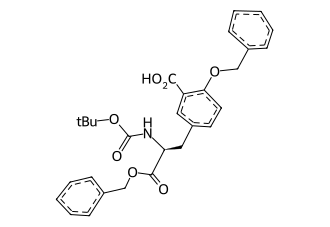 CC(C)(C)OC(=O)N[C@@H](Cc1ccc(OCc2ccccc2)c(C(=O)O)c1)C(=O)OCc1ccccc1